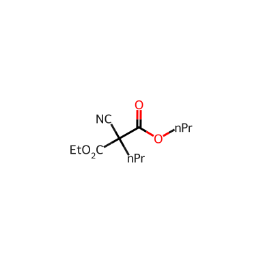 CCCOC(=O)C(C#N)(CCC)C(=O)OCC